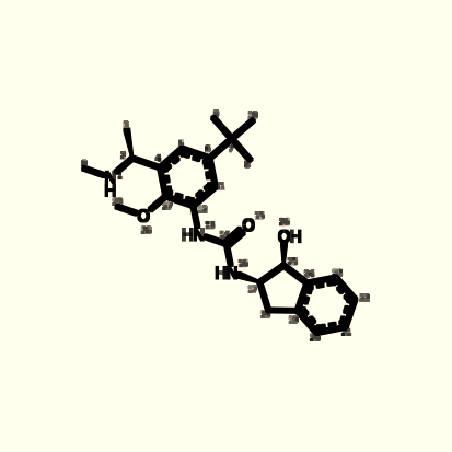 CN[C@@H](C)c1cc(C(C)(C)C)cc(NC(=O)N[C@@H]2Cc3ccccc3[C@@H]2O)c1OC